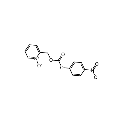 O=C(OCc1cccc[n+]1[O-])Oc1ccc([N+](=O)[O-])cc1